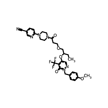 CCC(COCCC(=O)N1CCN(c2ccc(C#N)cn2)CC1)Oc1cnn(Cc2ccc(OC)cc2)c(=O)c1C(F)(F)F